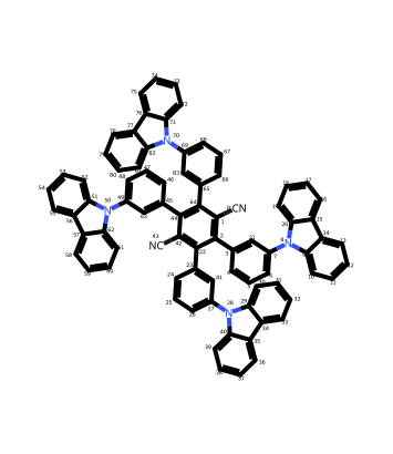 N#Cc1c(-c2cccc(-n3c4ccccc4c4ccccc43)c2)c(-c2cccc(-n3c4ccccc4c4ccccc43)c2)c(C#N)c(-c2cccc(-n3c4ccccc4c4ccccc43)c2)c1-c1cccc(-n2c3ccccc3c3ccccc32)c1